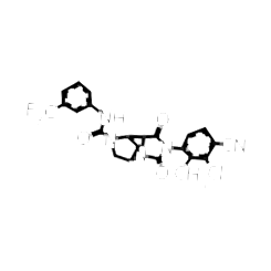 Cc1c(N2C(=O)C3C4CC(CN4C(=O)Nc4cccc(C(F)(F)F)c4)N3C2=O)ccc(C#N)c1Cl